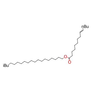 CCCCC=CCCCCCCCC(=O)OCCCCCCCCCCCCCCCCC(C)CC